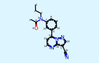 CCCN(C(C)=O)c1cccc(-c2ccnc3c(C#N)cnn23)c1